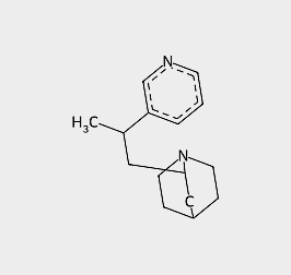 CC(CC1CC2CCN1CC2)c1cccnc1